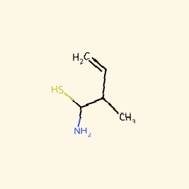 C=CC(C)C(N)S